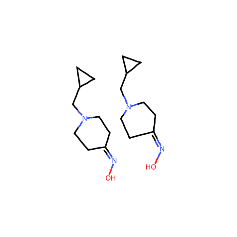 ON=C1CCN(CC2CC2)CC1.ON=C1CCN(CC2CC2)CC1